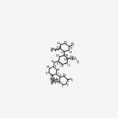 CC1CCC(C(C)C)C(C2CC(CC3CCC(N)C(C4CC(C)CCC4C(C)C)C3)CCC2N)C1